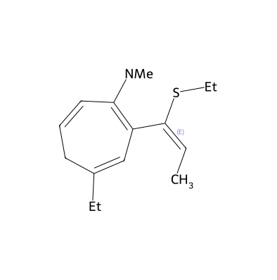 C/C=C(/SCC)C1=C(NC)C=CCC(CC)=C1